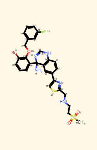 CS(=O)(=O)CCNCc1nc(-c2ccc3c(c2)C(N)(c2cccc(Br)c2OCc2cccc(F)c2)N=CN3)cs1